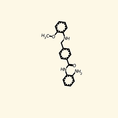 COc1ccccc1NCc1ccc(C(=O)Nc2ccccc2N)cc1